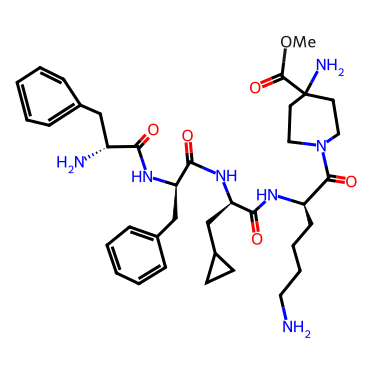 COC(=O)C1(N)CCN(C(=O)[C@@H](CCCCN)NC(=O)[C@@H](CC2CC2)NC(=O)[C@@H](Cc2ccccc2)NC(=O)[C@H](N)Cc2ccccc2)CC1